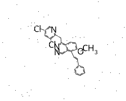 COc1ccc2c(Cc3ncc(Cl)cc3Cl)nncc2c1C=Cc1ccccc1